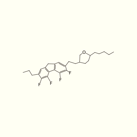 CCCCCC1CCC(CCc2cc3c(c(F)c2F)-c2c(cc(CCC)c(F)c2F)C3)CO1